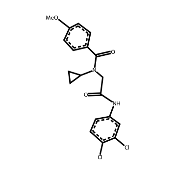 COc1ccc(C(=O)N(CC(=O)Nc2ccc(Cl)c(Cl)c2)C2CC2)cc1